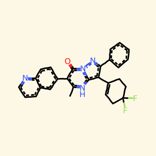 Cc1[nH]c2c(C3=CCC(F)(F)CC3)c(-c3ccccc3)nn2c(=O)c1-c1ccc2ncccc2c1